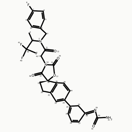 CC(N(Cc1ccc(F)cc1)C(=O)CN1C(=O)O[C@@]2(CCc3cc(C4=CC=CC(=NC(N)=O)C4)ccc32)C1=O)C(F)(F)F